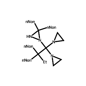 [CH2]CC(CCCCCCCCC)(CCCCCCCCC)C(N1CC1)(N1CC1)N1NC1(CCCCCCCCC)CCCCCCCCC